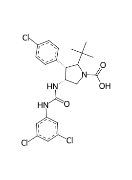 CC(C)(C)C1[C@@H](c2ccc(Cl)cc2)[C@@H](NC(=O)Nc2cc(Cl)cc(Cl)c2)CN1C(=O)O